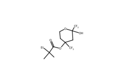 CCC(C)(C)C(=O)OC1(C(F)(F)F)CCOC(O)(C(F)(F)F)C1